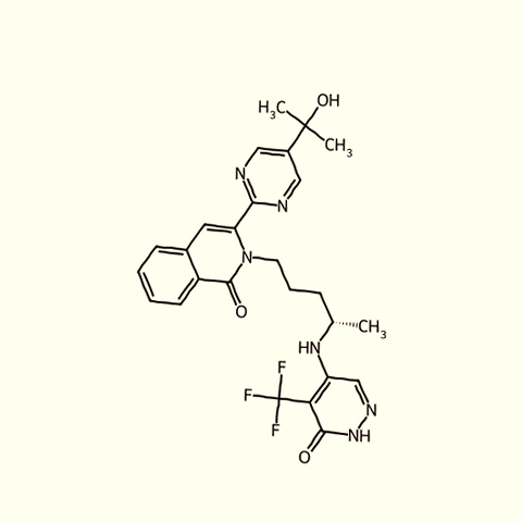 C[C@@H](CCCn1c(-c2ncc(C(C)(C)O)cn2)cc2ccccc2c1=O)Nc1cn[nH]c(=O)c1C(F)(F)F